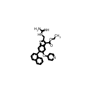 CCOC(=O)c1c(CNC(=N)N)sc2cc(-c3cccc4ccccc34)c(Oc3ccncc3)cc12